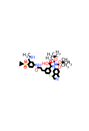 CNCc1cc(NC(=O)CCc2cccc(C(C(=O)O)N(c3ccc4cncc(F)c4c3)N(C(=O)OC(C)(C)C)C(=O)OC(C)(C)C)c2)ccc1S(=O)(=O)C1CC1